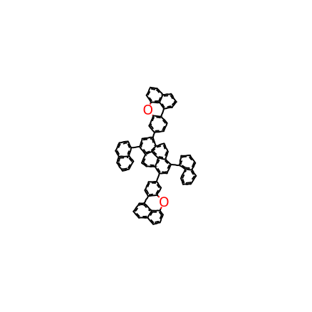 c1ccc2c(-c3cc(-c4ccc5c(c4)Oc4cccc6cccc-5c46)c4ccc5c(-c6cccc7ccccc67)cc(-c6ccc7c(c6)Oc6cccc8cccc-7c68)c6ccc3c4c65)cccc2c1